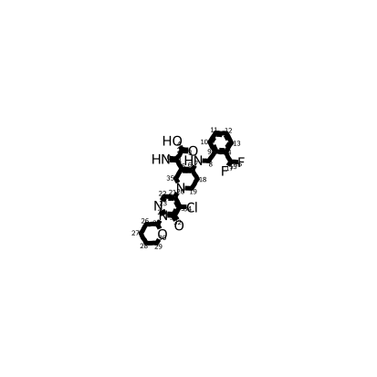 N=C(C(=O)O)C1=C(NCc2ccccc2C(F)F)CCN(c2cnn(C3CCCCO3)c(=O)c2Cl)C1